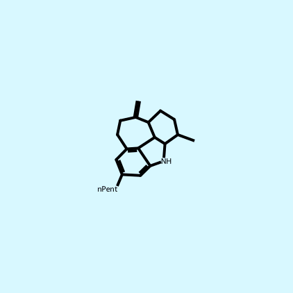 C=C1CCc2cc(CCCCC)cc3c2C2C1CCC(C)C2N3